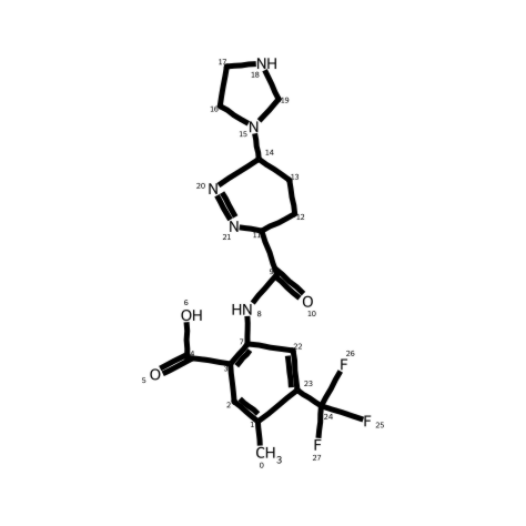 Cc1cc(C(=O)O)c(NC(=O)C2CCC(N3CCNC3)N=N2)cc1C(F)(F)F